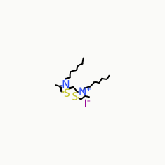 CCCCCCCN1C(C)=CS/C1=C\C1=[N+](CCCCCCC)C(C)CS1.[I-]